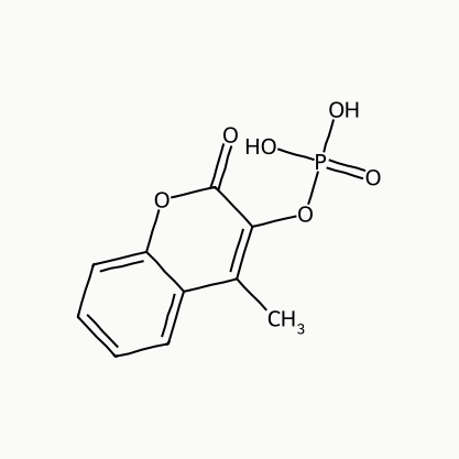 Cc1c(OP(=O)(O)O)c(=O)oc2ccccc12